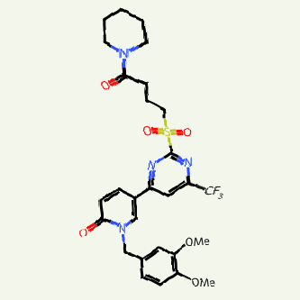 COc1ccc(Cn2cc(-c3cc(C(F)(F)F)nc(S(=O)(=O)CCCC(=O)N4CCCCC4)n3)ccc2=O)cc1OC